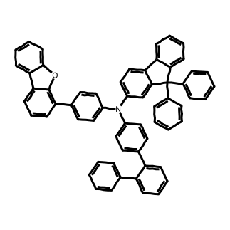 c1ccc(-c2ccccc2-c2ccc(N(c3ccc(-c4cccc5c4oc4ccccc45)cc3)c3ccc4c(c3)C(c3ccccc3)(c3ccccc3)c3ccccc3-4)cc2)cc1